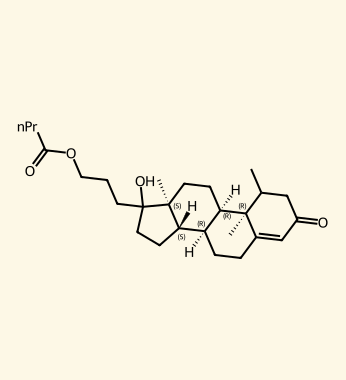 CCCC(=O)OCCCC1(O)CC[C@H]2[C@@H]3CCC4=CC(=O)CC(C)[C@]4(C)[C@@H]3CC[C@@]21C